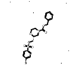 O=C(OCc1ccccc1)N1CCO[C@@H](COS(=O)(=O)c2ccc(Br)cc2)C1